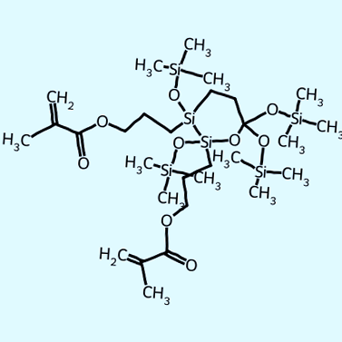 C=C(C)C(=O)OCCC[Si]1(O[Si](C)(C)C)CCC(O[Si](C)(C)C)(O[Si](C)(C)C)O[Si]1(CCCOC(=O)C(=C)C)O[Si](C)(C)C